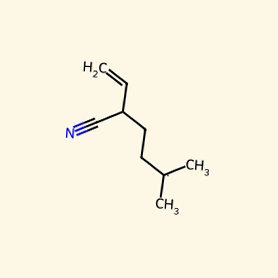 C=CC(C#N)CC[C](C)C